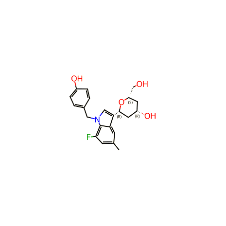 Cc1cc(F)c2c(c1)c([C@H]1C[C@@H](O)C[C@@H](CO)O1)cn2Cc1ccc(O)cc1